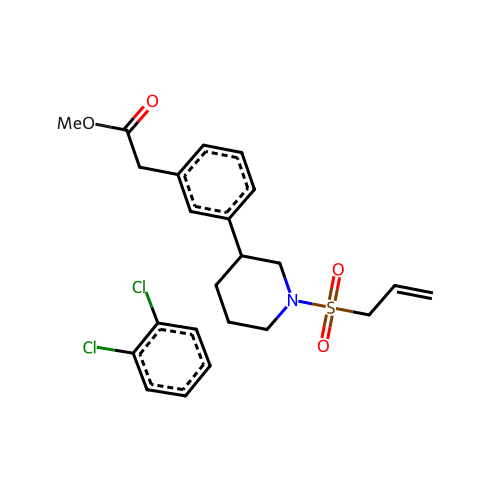 C=CCS(=O)(=O)N1CCCC(c2cccc(CC(=O)OC)c2)C1.Clc1ccccc1Cl